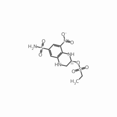 CCS(=O)(=O)O[C@H]1CNc2cc(S(N)(=O)=O)cc([N+](=O)[O-])c2N1